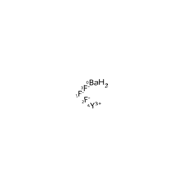 [BaH2].[F-].[F-].[F-].[Y+3]